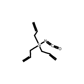 C=CC[Si](CC=C)(CC=C)N=C=O